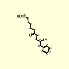 CCCCCCCCCCCCCCCC(=O)NCC(S)Cc1ccccc1